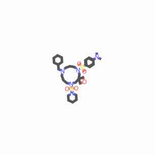 CN(C)c1ccc(S(=O)(=O)N2CCCN(CC3CCCCC3)CCCN(S(=O)(=O)N3CCCCC3)CC3(COC3)C2)cc1